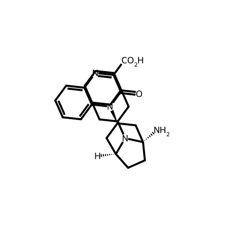 N[C@@]12CC[C@@H](C[C@@H](n3c(=O)c(C(=O)O)nc4ccccc43)C1)N2C1CC2CCCC(C2)C1